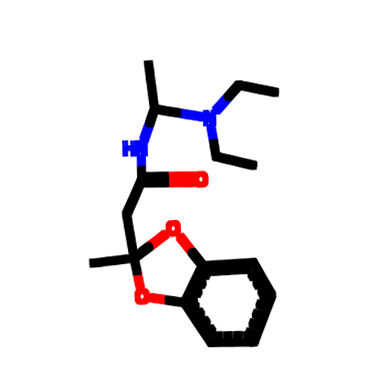 CCN(CC)C(C)NC(=O)CC1(C)Oc2ccccc2O1